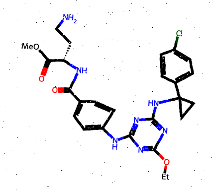 CCOc1nc(Nc2ccc(C(=O)N[C@@H](CCN)C(=O)OC)cc2)nc(NC2(c3ccc(Cl)cc3)CC2)n1